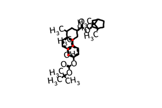 CC(CC(CC(C)c1ccc(OC(=O)OC(C)(C)C)cc1)C(=O)OC1CC2CCC1(C)C2(C)C)c1ccc(O)cc1